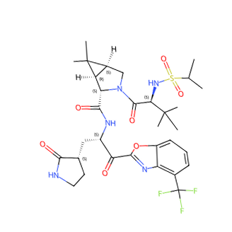 CC(C)S(=O)(=O)N[C@H](C(=O)N1C[C@H]2[C@@H]([C@H]1C(=O)N[C@@H](C[C@@H]1CCNC1=O)C(=O)c1nc3c(C(F)(F)F)cccc3o1)C2(C)C)C(C)(C)C